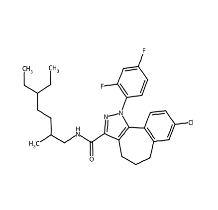 CCC(CC)CCC(C)CNC(=O)c1nn(-c2ccc(F)cc2F)c2c1CCCc1cc(Cl)ccc1-2